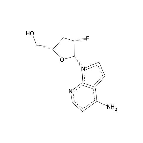 Nc1ccnc2c1ccn2[C@@H]1O[C@H](CO)C[C@@H]1F